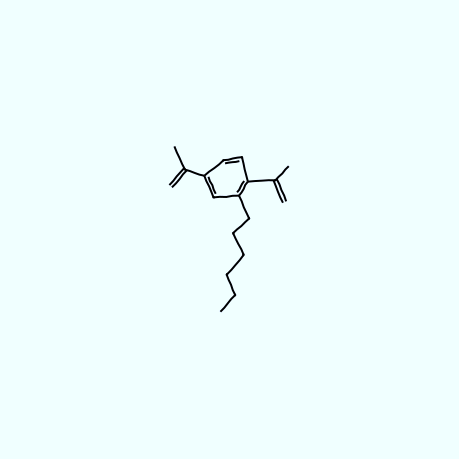 C=C(C)c1ccc(C(=C)C)c(CCCCCC)c1